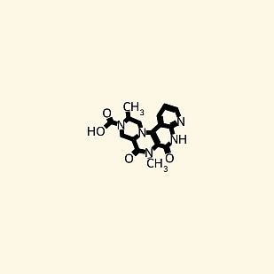 CC1CN2c3c(c(=O)[nH]c4ncccc34)N(C)C(=O)C2CN1C(=O)O